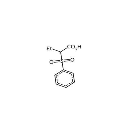 CCC(C(=O)O)S(=O)(=O)c1ccccc1